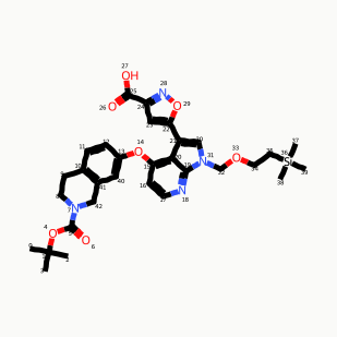 CC(C)(C)OC(=O)N1CCc2ccc(Oc3ccnc4c3c(-c3cc(C(=O)O)no3)cn4COCC[Si](C)(C)C)cc2C1